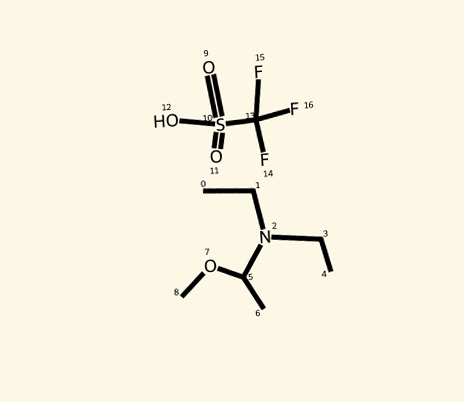 CCN(CC)C(C)OC.O=S(=O)(O)C(F)(F)F